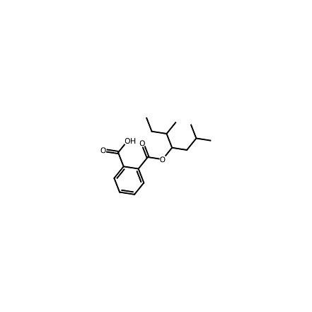 CCC(C)C(CC(C)C)OC(=O)c1ccccc1C(=O)O